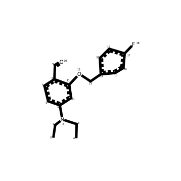 CCN(CC)c1ccc(C=O)c(OCc2ccc(F)cc2)c1